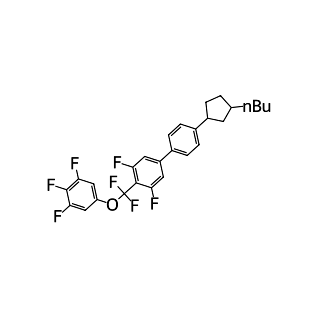 CCCCC1CCC(c2ccc(-c3cc(F)c(C(F)(F)Oc4cc(F)c(F)c(F)c4)c(F)c3)cc2)C1